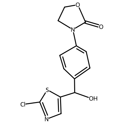 O=C1OCCN1c1ccc(C(O)c2cnc(Cl)s2)cc1